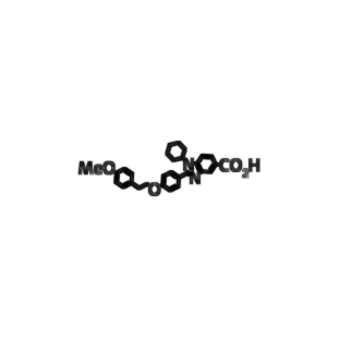 COc1ccc(CCOc2ccc(-c3nc4cc(C(=O)O)ccc4n3C3CCCCC3)cc2)cc1